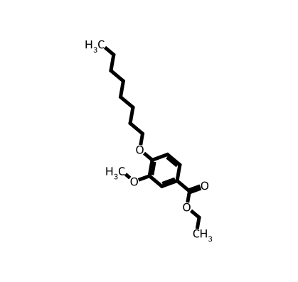 CCCCCCCCOc1ccc(C(=O)OCC)cc1OC